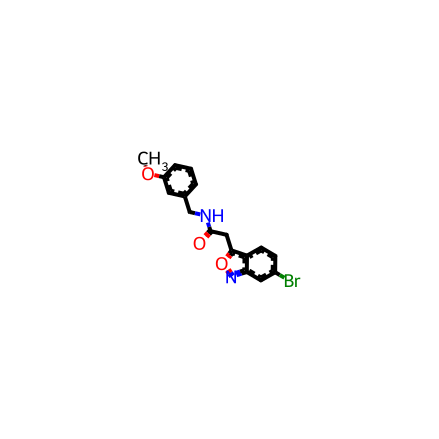 COc1cccc(CNC(=O)Cc2onc3cc(Br)ccc23)c1